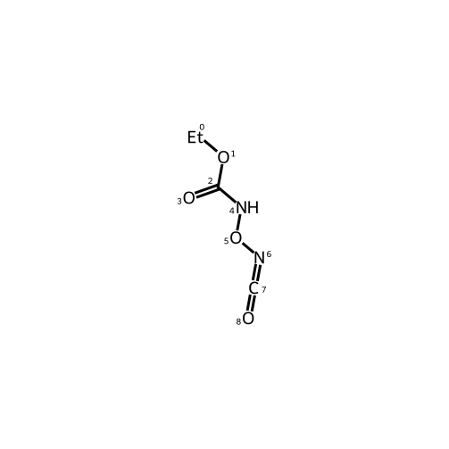 CCOC(=O)NON=C=O